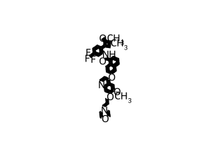 COc1cc2c(Oc3ccc4c(C(=O)Nc5cc(C(F)(F)F)ccc5C5CC(C)(C)C5=O)cccc4c3)ccnc2cc1OCCCN1CCOCC1